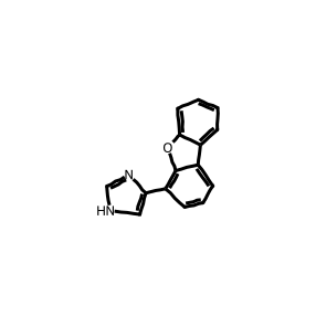 c1ccc2c(c1)oc1c(-c3c[nH]cn3)cccc12